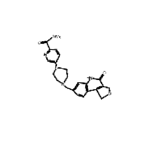 CNC(=O)c1ccc(N2CCN(Cc3ccc4c5c(c(=O)[nH]c4c3)COC5)CC2)cn1